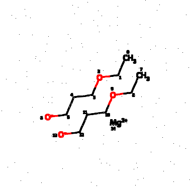 CCOCCC[O-].CCOCCC[O-].[Mg+2]